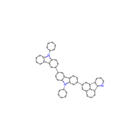 c1ccc(-n2c3ccccc3c3cc(-c4ccc5c(c4)c4ccc(-c6cc7c8c(cccc8c6)-c6ncccc6-7)cc4n5-c4ccccc4)ccc32)cc1